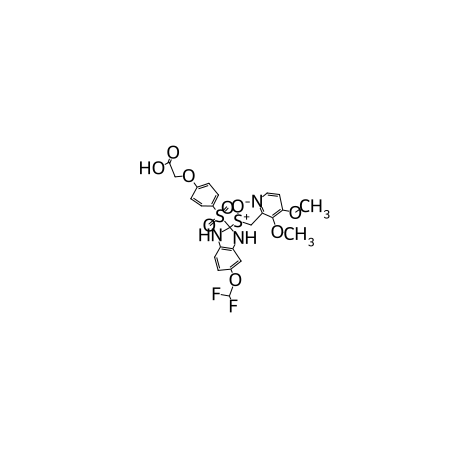 COc1ccnc(C[S+]([O-])C2(S(=O)(=O)c3ccc(OCC(=O)O)cc3)Nc3ccc(OC(F)F)cc3N2)c1OC